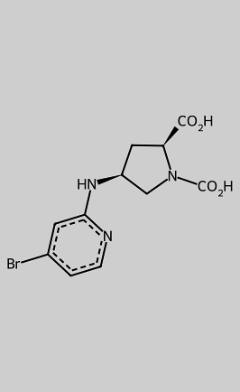 O=C(O)[C@@H]1C[C@H](Nc2cc(Br)ccn2)CN1C(=O)O